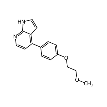 COCCOc1ccc(-c2ccnc3[nH]ccc23)cc1